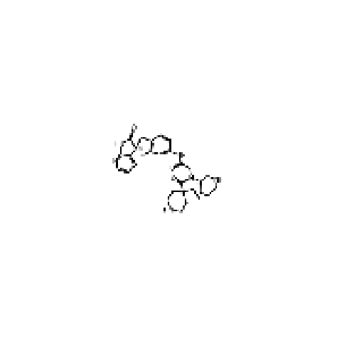 CCC1(C(=O)N(CC(=O)Nc2ccc3c(c2)C[C@@]2(C3)C(=O)Nc3ncccc32)[C@H]2CCCNC2)CCNCC1